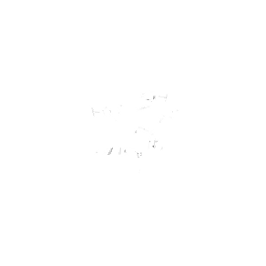 O=C[C@@H]1CCCN1c1cc(I)c(O)c(C(=O)O)c1